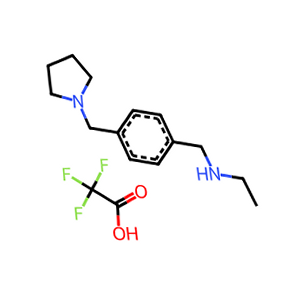 CCNCc1ccc(CN2CCCC2)cc1.O=C(O)C(F)(F)F